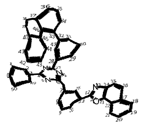 c1ccc(-c2nc(-c3cccc(-c4nc5ccc6ccccc6c5o4)c3)nc(-c3cccc(-c4cccc5ccc6ccccc6c45)c3)n2)cc1